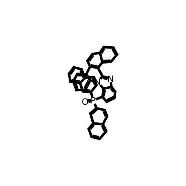 O=P(c1ccc2ccccc2c1)(c1ccc2ccccc2c1)c1cccc2nc3c4c5ccccc5ccc4c4ccccc4n3c12